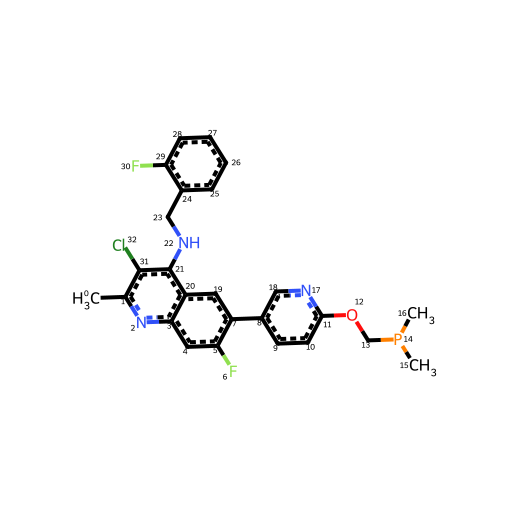 Cc1nc2cc(F)c(-c3ccc(OCP(C)C)nc3)cc2c(NCc2ccccc2F)c1Cl